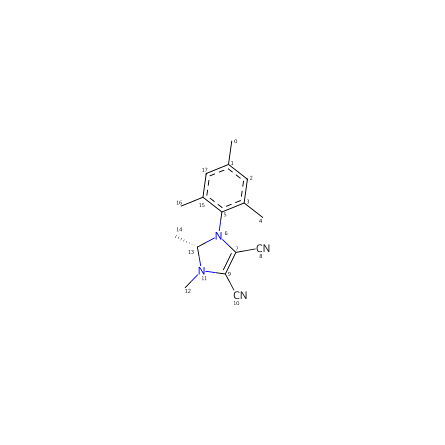 Cc1cc(C)c(N2C(C#N)=C(C#N)N(C)[C@@H]2C)c(C)c1